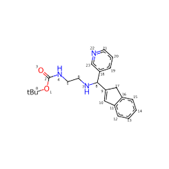 CC(C)(C)OC(=O)NCCNC(C1=Cc2ccccc2C1)c1cccnc1